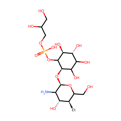 CC[C@@H]1C(CO)O[C@H](O[C@@H]2C(O)C(O)[C@@H](O)[C@H](O)C2OP(=O)(O)OCC(O)CO)C(N)[C@H]1O